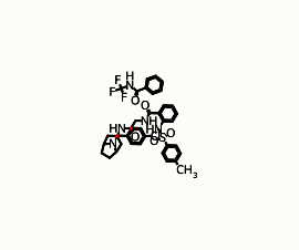 Cc1ccc(S(=O)(=O)Nc2ccccc2C(=O)NCC(=O)NC2CC3CCC(C2)N3Cc2ccc(Cl)cc2)cc1.O=C(NC(F)(F)F)c1ccccc1